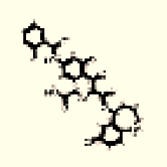 Cc1ccccc1C(=O)Nc1ccc(C(=O)C(SCC(=O)O)C(=O)OC2CCCNc3ccc(Cl)cc32)c(C)c1